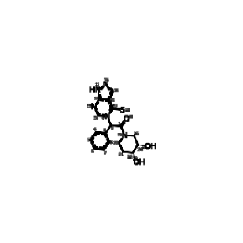 O=C(C(c1ccccc1)n1cnc2[nH]ncc2c1=S)N1CC[C@@H](O)[C@@H](O)C1